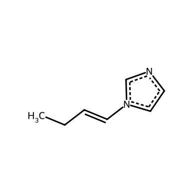 CCC=Cn1ccnc1